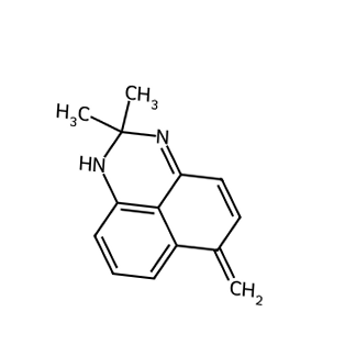 C=c1ccc2c3c(cccc13)NC(C)(C)N=2